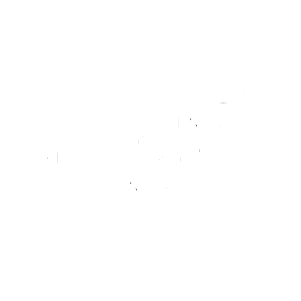 O=C(CS(=O)(=O)c1cn(Cc2ccc(Cl)cc2)c2ccccc12)Nc1cccc(Cl)c1